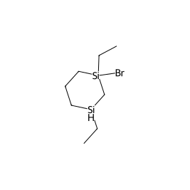 CC[SiH]1CCC[Si](Br)(CC)C1